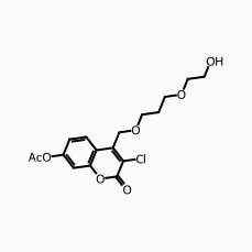 CC(=O)Oc1ccc2c(COCCCOCCO)c(Cl)c(=O)oc2c1